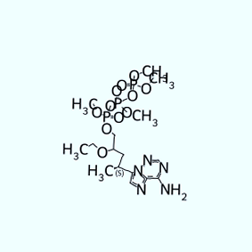 CCOC(COP(=O)(OC)OP(=O)(OC)OP(=O)(OC)OC)C[C@H](C)c1cnc2c(N)ncnn12